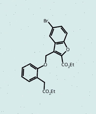 CCOC(=O)Cc1ccccc1OCc1c(C(=O)OCC)oc2ccc(Br)cc12